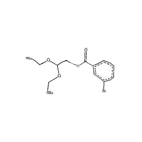 CC(C)(C)COC(COC(=O)c1cccc(Br)c1)OCC(C)(C)C